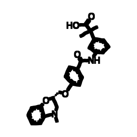 CN1C[C@@H](COc2ccc(C(=O)Nc3cccc(C(C)(C)C(=O)O)c3)cc2)Oc2ccccc21